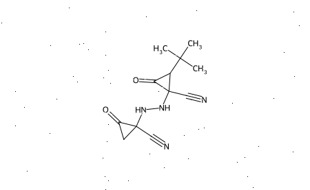 CC(C)(C)C1C(=O)C1(C#N)NNC1(C#N)CC1=O